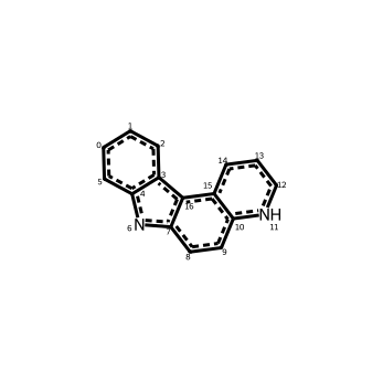 c1ccc2c(c1)nc1ccc3[nH]cccc3c12